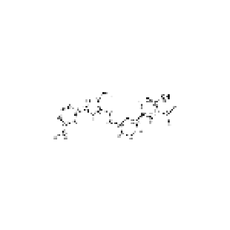 CCc1oc(-c2cccc(OC)c2)nc1CO[C@@H]1CCC[C@H](C(=O)NC(C(=O)O)C(C)C)C1